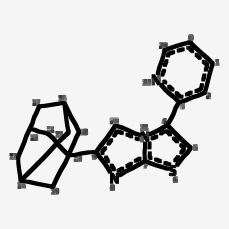 c1ccc(-c2csc3nc(C45CC6CC(CC(C6)C4)C5)cn23)nc1